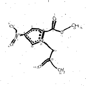 COC(=O)c1cc([N+](=O)[O-])cn1CC(C)=O